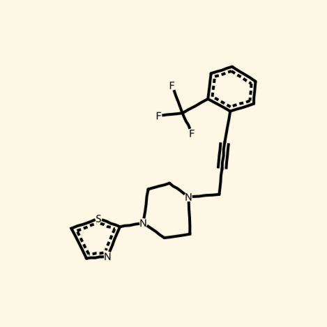 FC(F)(F)c1ccccc1C#CCN1CCN(c2nccs2)CC1